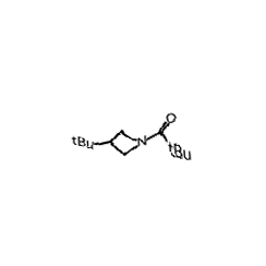 CC(C)(C)C(=O)N1CC(C(C)(C)C)C1